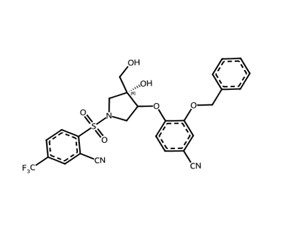 N#Cc1ccc(OC2CN(S(=O)(=O)c3ccc(C(F)(F)F)cc3C#N)C[C@@]2(O)CO)c(OCc2ccccc2)c1